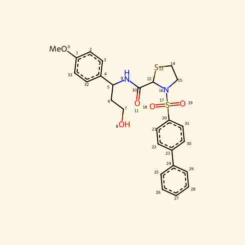 COc1ccc(C(CCO)NC(=O)C2SCCN2S(=O)(=O)c2ccc(-c3ccccc3)cc2)cc1